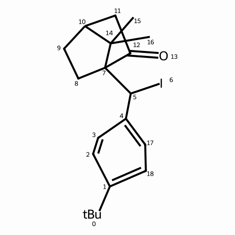 CC(C)(C)c1ccc(C(I)C23CCC(CC2=O)C3(C)C)cc1